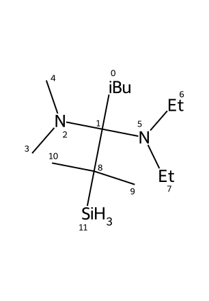 CCC(C)C(N(C)C)(N(CC)CC)C(C)(C)[SiH3]